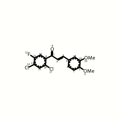 COc1ccc(/C=C/C(=O)c2cc(F)c(Cl)cc2Cl)cc1OC